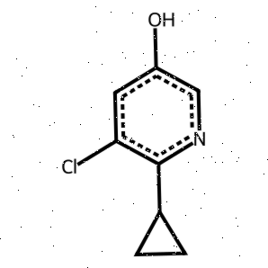 Oc1cnc(C2CC2)c(Cl)c1